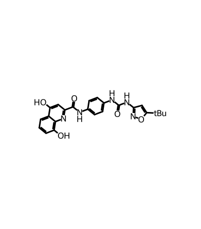 CC(C)(C)c1cc(NC(=O)Nc2ccc(NC(=O)c3cc(O)c4cccc(O)c4n3)cc2)no1